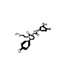 CC(C)SCCN1C(=O)[C@@H](CC(=O)Nc2ccc(F)c(Br)c2)CCC1c1ccc(Cl)cc1